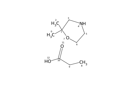 CC1(C)CNCCO1.CCC(=O)O